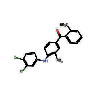 O=C(O)c1ccccc1C(=O)c1ccc(Nc2ccc(Cl)c(Cl)c2)c([N+](=O)[O-])c1